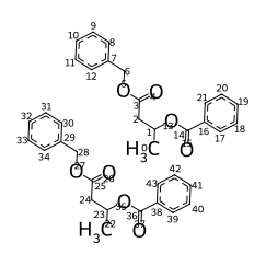 CC(CC(=O)OCc1ccccc1)OC(=O)c1ccccc1.CC(CC(=O)OCc1ccccc1)OC(=O)c1ccccc1